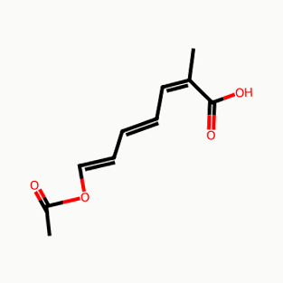 CC(=O)OC=CC=CC=C(C)C(=O)O